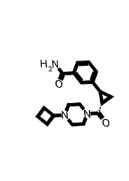 NC(=O)c1cccc(C2C[C@@H]2C(=O)N2CCN(C3CCC3)CC2)c1